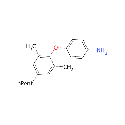 CCCCCc1cc(C)c(Oc2ccc(N)cc2)c(C)c1